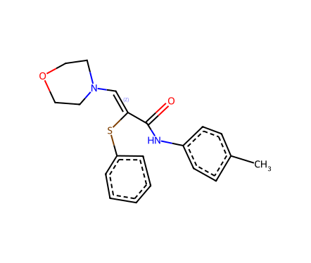 Cc1ccc(NC(=O)/C(=C/N2CCOCC2)Sc2ccccc2)cc1